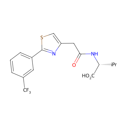 CC(C)[C@@H](NC(=O)Cc1csc(-c2cccc(C(F)(F)F)c2)n1)C(=O)O